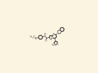 COc1ccc(NC(=O)c2cc3nc(N4Cc5ccccc5C4)cc(-c4cn[nH]c4)n3n2)cc1